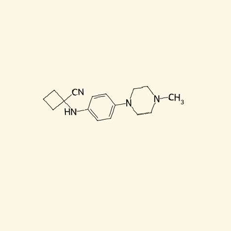 CN1CCN(c2ccc(NC3(C#N)CCC3)cc2)CC1